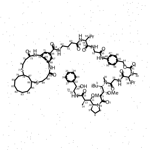 CC[C@H](C)[C@@H]([C@@H](CC(=O)N1CCC[C@H]1[C@H](OC)[C@@H](C)C(=O)N[C@H](C)[C@@H](O)c1ccccc1)OC)N(C)C(=O)CNC(=O)C(C(C)C)N(C)C(=O)OCc1ccc(NC(=O)CNC(=O)C(NC(=O)CCCNC(=O)c2cc3cc(c2)NC(=O)CCSC2CCCCCCCC(C2)SCCC(=O)N3)C(C)C)cc1